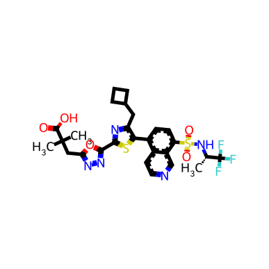 C[C@H](NS(=O)(=O)c1ccc(-c2sc(-c3nnc(CC(C)(C)C(=O)O)o3)nc2CC2CCC2)c2ccncc12)C(F)(F)F